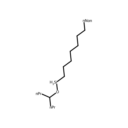 CCCCCCCCCCCCCCCC[SiH2]OC(CCC)CCC